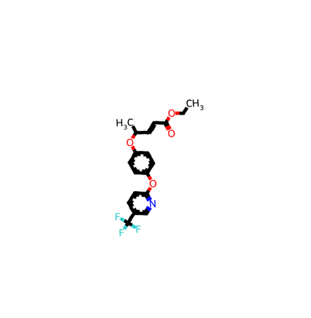 CCOC(=O)C=CC(C)Oc1ccc(Oc2ccc(C(F)(F)F)cn2)cc1